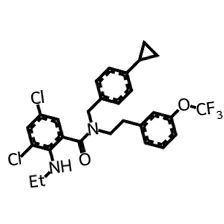 CCNc1c(Cl)cc(Cl)cc1C(=O)N(CCc1cccc(OC(F)(F)F)c1)Cc1ccc(C2CC2)cc1